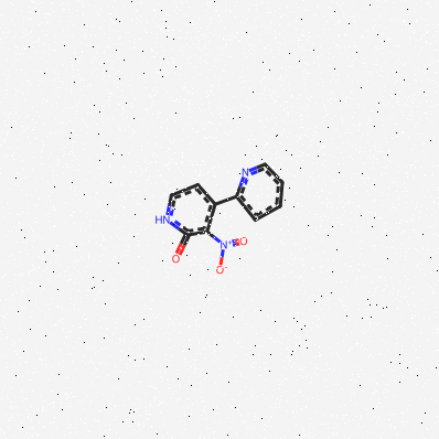 O=c1[nH]ccc(-c2ccccn2)c1[N+](=O)[O-]